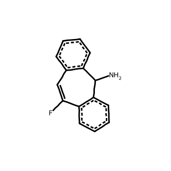 NC1c2ccccc2C=C(F)c2ccccc21